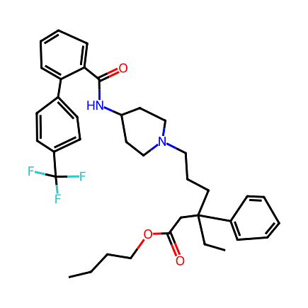 CCCCOC(=O)CC(CC)(CCCN1CCC(NC(=O)c2ccccc2-c2ccc(C(F)(F)F)cc2)CC1)c1ccccc1